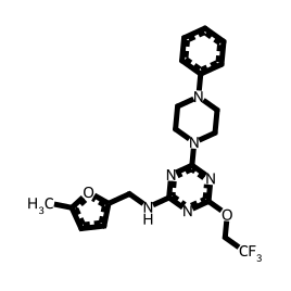 Cc1ccc(CNc2nc(OCC(F)(F)F)nc(N3CCN(c4ccccc4)CC3)n2)o1